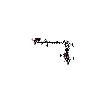 C=Cc1ccccc1C(CCC(=O)CCC(=O)NCCOCCOCCOCCOCCC(=O)N[C@H](C(=O)N[C@@H](C)C(=O)Nc1ccc([C@H]2O[C@H]3C[C@@H]4[C@H]5CCC6=CC(=O)C=C[C@@]6(C)[C@@H]5[C@H](O)C[C@@]4(C)[C@@]3(C(=O)CO)O2)cc1)C(C)C)Cc1ccccc1CC